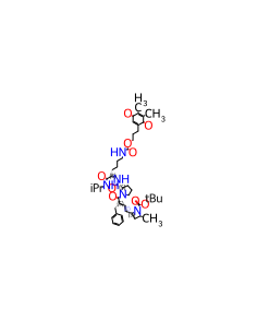 CC1=C(C)C(=O)C(CCCOC(=O)NCCCC[C@H](NC(=O)[C@@H]2CCCN2C(=O)[C@H](/C=C/[C@@H]2CC(C)N2C(=O)OC(C)(C)C)Cc2ccccc2)C(=O)NC(C)C)=CC1=O